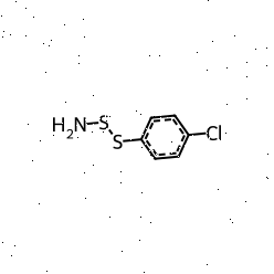 NSSc1ccc(Cl)cc1